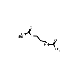 CC(C)(C)NC(=O)OCCCNC(=O)C(F)(F)F